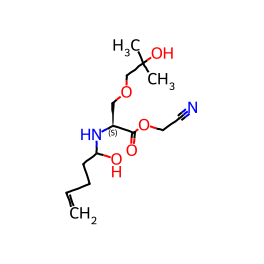 C=CCCC(O)N[C@@H](COCC(C)(C)O)C(=O)OCC#N